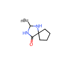 CCCCC1NC(=O)C2(CCCC2)N1